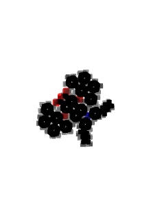 CC(C)(C)CC(C)(C)c1ccc(N(c2ccc(C(C)(C)CC(C)(C)C)cc2)c2ccc3c4c(Oc5cc(-c6ccccc6)c(-c6ccccc6)c(-c6ccccc6)c5-c5ccccc5)cc5c6c(cc(Oc7cc(-c8ccccc8)c(-c8ccccc8)c(-c8ccccc8)c7-c7ccccc7)c(c7cccc2c73)c64)C(=O)OC5=O)cc1